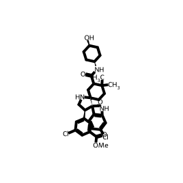 COC(=O)c1cc(Cl)cc([C@H]2CNC3(CCC(C)(C)C(C(=O)N[C@H]4CC[C@H](O)CC4)C3)[C@@]23C(=O)Nc2cc(Cl)ccc23)c1